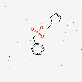 O=S(=O)(Cc1ccccc1)OCC1CC=CC1